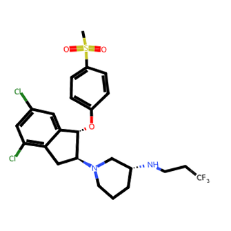 CS(=O)(=O)c1ccc(O[C@H]2c3cc(Cl)cc(Cl)c3C[C@@H]2N2CCC[C@@H](NCCC(F)(F)F)C2)cc1